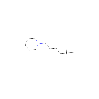 CCC(C)(C)CCCCN1CCCCC1